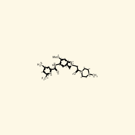 COc1cc2nn(CC(=O)N3CCN(C)CC3)cc2cc1NC(=O)c1cc(C)cc(C(F)(F)F)n1